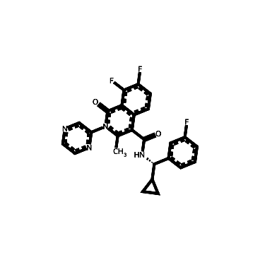 Cc1c(C(=O)N[C@H](c2cccc(F)c2)C2CC2)c2ccc(F)c(F)c2c(=O)n1-c1cnccn1